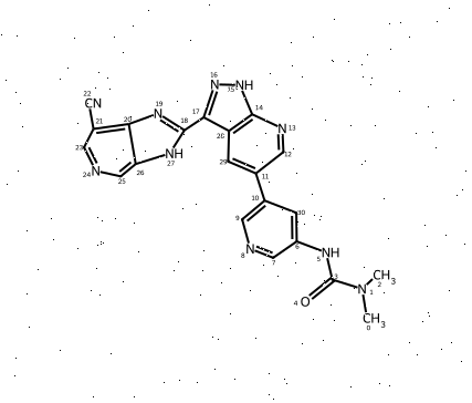 CN(C)C(=O)Nc1cncc(-c2cnc3[nH]nc(-c4nc5c(C#N)cncc5[nH]4)c3c2)c1